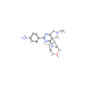 CN1Cc2nc(-c3ccc(N)cc3)nc(N3C4CCC3COC4)c2C1